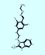 CCO/N=C/c1c(F)cc(CCOn2c(C)nc3ccccc32)cc1F